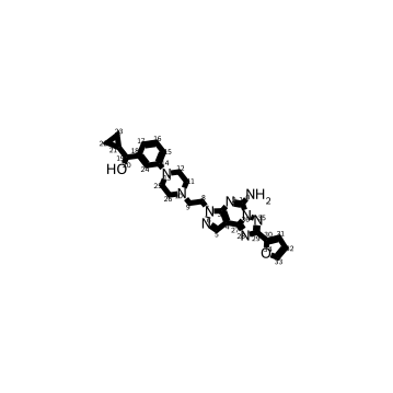 Nc1nc2c(cnn2CCN2CCN(c3cccc(C(O)C4CC4)c3)CC2)c2nc(-c3ccco3)nn12